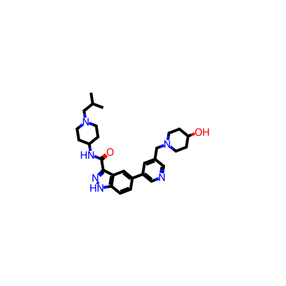 CC(C)CN1CCC(NC(=O)c2n[nH]c3ccc(-c4cncc(CN5CCC(O)CC5)c4)cc23)CC1